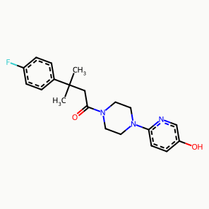 CC(C)(CC(=O)N1CCN(c2ccc(O)cn2)CC1)c1ccc(F)cc1